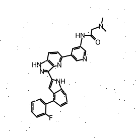 CN(C)CC(=O)Nc1cncc(-c2ccc3[nH]nc(-c4cc5c(-c6ccccc6F)cccc5[nH]4)c3n2)c1